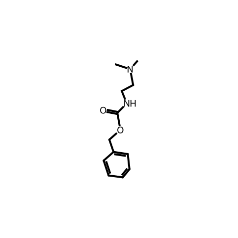 CN(C)CCNC(=O)OCc1ccccc1